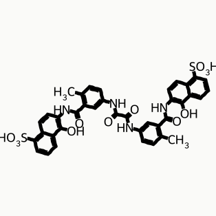 Cc1ccc(NC(=O)C(=O)Nc2ccc(C)c(C(=O)Nc3ccc4c(S(=O)(=O)O)cccc4c3O)c2)cc1C(=O)Nc1ccc2c(S(=O)(=O)O)cccc2c1O